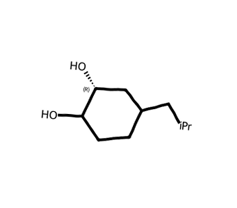 CC(C)CC1CCC(O)[C@H](O)C1